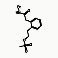 CCNC(=O)Cc1ccccc1CCOS(C)(=O)=O